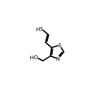 OCc1ncsc1C=CS